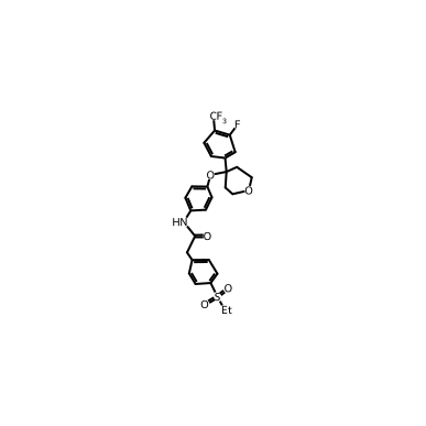 CCS(=O)(=O)c1ccc(CC(=O)Nc2ccc(OC3(c4ccc(C(F)(F)F)c(F)c4)CCOCC3)cc2)cc1